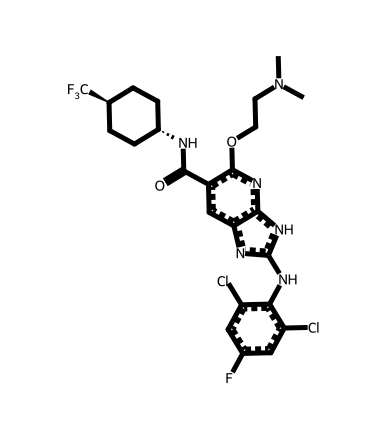 CN(C)CCOc1nc2[nH]c(Nc3c(Cl)cc(F)cc3Cl)nc2cc1C(=O)N[C@H]1CC[C@H](C(F)(F)F)CC1